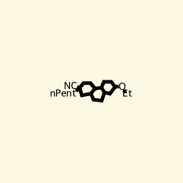 CCCCCC1(C#N)CCC2C(CCC3CC(OCC)CCC32)C1